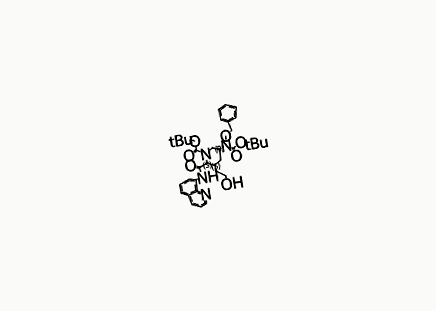 CC(C)(C)OC(=O)N1C[C@H](N(OCc2ccccc2)C(=O)OC(C)(C)C)C[C@@H](CCO)[C@H]1C(=O)Nc1cccc2cccnc12